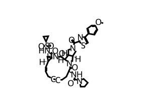 COc1ccc(-c2csc(C(=O)N3C[C@H]4CN5C(=O)[C@@H](NC(=O)N6CCCC6)CCCCC/C=C\[C@H]6C[C@@]6(C(=O)NS(=O)(=O)C6CC6)NC(=O)[C@@H]5[C@H]4C3)n2)cc1